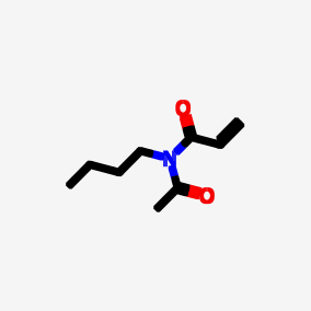 C=CC(=O)N(CCCC)C(C)=O